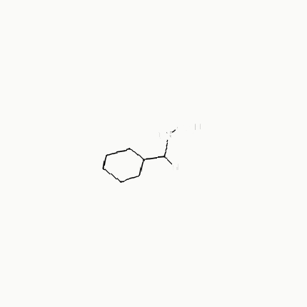 CCCC(NC(=O)O)C1CCCCC1